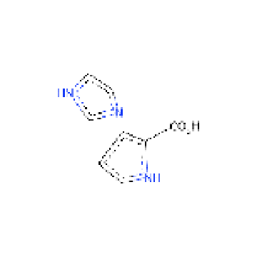 O=C(O)c1ccc[nH]1.c1c[nH]cn1